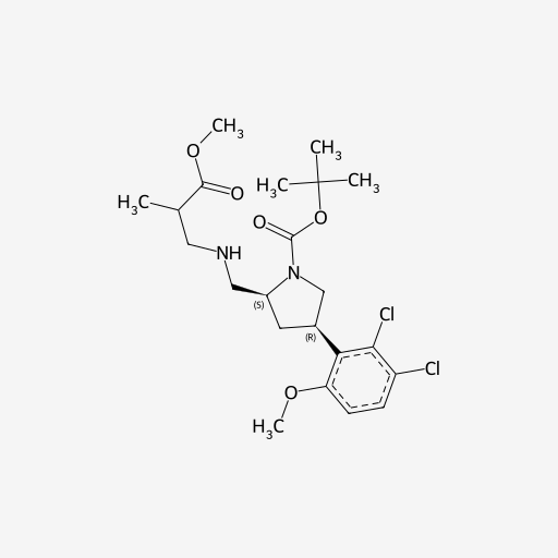 COC(=O)C(C)CNC[C@@H]1C[C@H](c2c(OC)ccc(Cl)c2Cl)CN1C(=O)OC(C)(C)C